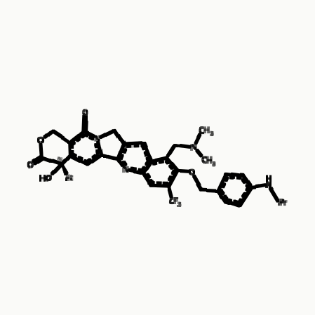 CC[C@@]1(O)C(=O)OCc2c1cc1n(c2=O)Cc2cc3c(CN(C)C)c(OCc4ccc(NC(C)C)cc4)c(C(F)(F)F)cc3nc2-1